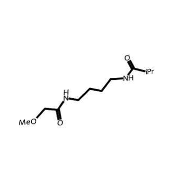 COCC(=O)NCCCCNC(=O)C(C)C